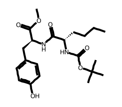 CCCC[C@H](NC(=O)OC(C)(C)C)C(=O)N[C@@H](Cc1ccc(O)cc1)C(=O)OC